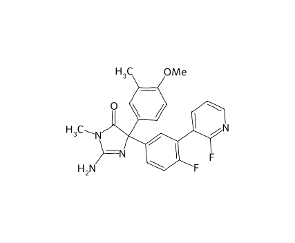 COc1ccc(C2(c3ccc(F)c(-c4cccnc4F)c3)N=C(N)N(C)C2=O)cc1C